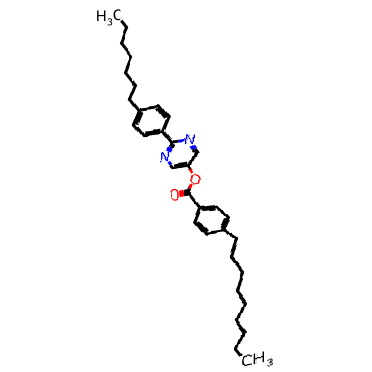 CCCCCCCCCc1ccc(C(=O)Oc2cnc(-c3ccc(CCCCCCC)cc3)nc2)cc1